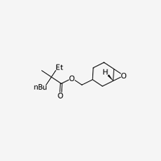 CCCCC(C)(CC)C(=O)OCC1CCC2O[C@@H]2C1